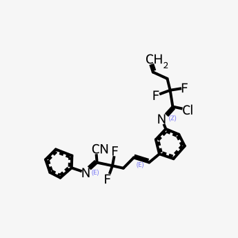 C=CCC(F)(F)/C(Cl)=N/c1cccc(/C=C/CC(F)(F)/C(C#N)=N/c2ccccc2)c1